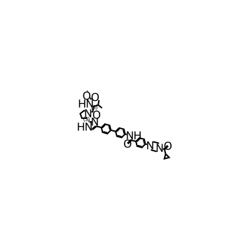 COC(=O)N[C@H](C(=O)N1CCC[C@H]1c1nc(-c2ccc(-c3ccc(NC(=O)c4ccc(N5CCN(C(=O)C6CC6)CC5)cc4)cc3)cc2)c[nH]1)C(C)C